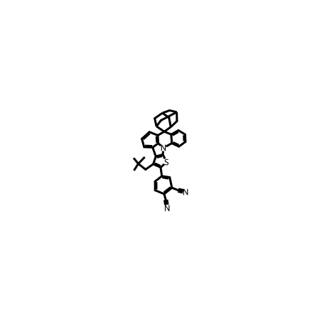 CC(C)(C)Cc1c(-c2ccc(C#N)c(C#N)c2)sc2c1c1cccc3c1n2-c1ccccc1C31C2CC3CC(C2)CC1C3